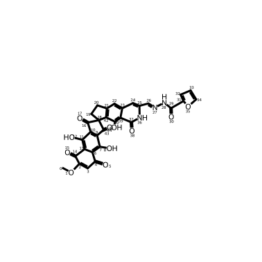 COC1=CC(=O)c2c(O)c3c(c(O)c2C1=O)C(=O)C1(CCc2cc4cc(C=NNC(=O)c5ccco5)[nH]c(=O)c4c(O)c21)C3=O